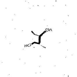 C[C@H](O)[C@@H](C)O